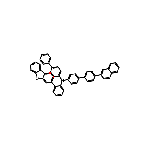 c1ccc(-c2ccc(N(c3ccc(-c4ccc(-c5ccc6ccccc6c5)cc4)cc3)c3ccccc3-c3ccc4c(c3)oc3ccccc34)cc2)cc1